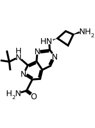 CC(C)(C)Nc1nc(C(N)=O)cc2cnc(N[C@H]3C[C@H](N)C3)nc12